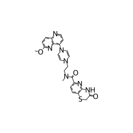 COc1ccc2nccc(N3C=CN(CCN(C)C(=O)c4ccc5c(n4)NC(=O)CS5)C=C3)c2n1